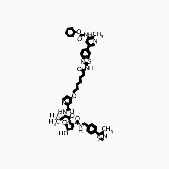 Cc1ncc(-c2ccc3nc(NC(=O)CCCCCCOc4ccnc(C(=O)N[C@H](C(=O)N5C[C@H](O)C[C@H]5C(=O)NCc5ccc(-c6scnc6C)cc5)C(C)(C)C)c4)sc3c2)cc1NC(=O)OC1CCCCC1